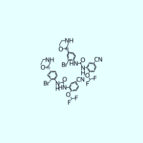 N#Cc1ccc(OC(F)F)c(NC(=O)Nc2ccc([C@@H]3CNCCO3)cc2Br)c1.N#Cc1ccc(OC(F)F)c(NC(=O)Nc2ccc([C@H]3CNCCO3)cc2Br)c1